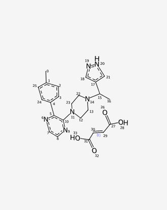 Cc1ccc(-c2nccnc2N2CCN(C(C)c3cn[nH]c3)CC2)cc1.O=C(O)/C=C/C(=O)O